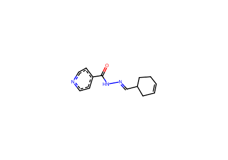 O=C(N/N=C/C1CC=CCC1)c1ccncc1